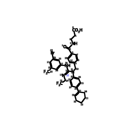 O=C(O)CCNC(=O)c1ccc(CN(/C(=N\CC(F)(F)F)Nc2cc(Br)cc(C(F)(F)F)c2)c2ccc(C3=CCCCC3)cc2)cc1